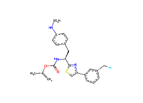 C=C(C)OC(=O)N[C@@H](Cc1ccc(NS(=O)(=O)O)cc1)c1nc(-c2cccc(CF)c2)cs1